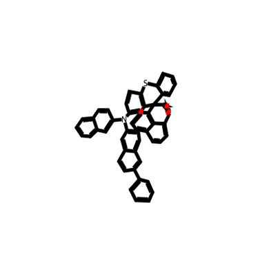 c1ccc(-c2ccc3cc(N(c4ccc5c(c4)C4(c6ccccc6S5)c5ccccc5-c5cccc6cccc4c56)c4ccc5ccccc5c4)ccc3c2)cc1